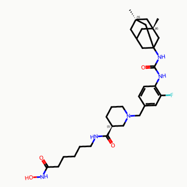 C[C@]12CC3CC(NC(=O)Nc4ccc(CN5CCC[C@H](C(=O)NCCCCCC(=O)NO)C5)cc4F)(C1)C[C@@](C)(C3)C2